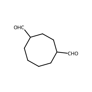 O=CC1CCCCC(C=O)CC1